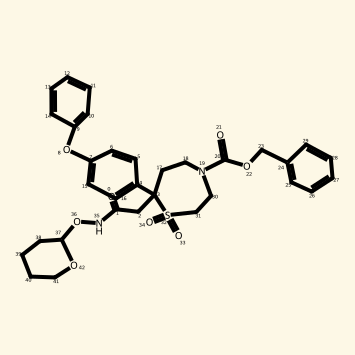 O=C(CC1(c2ccc(Oc3ccccc3)cc2)CCN(C(=O)OCc2ccccc2)CCS1(=O)=O)NOC1CCCCO1